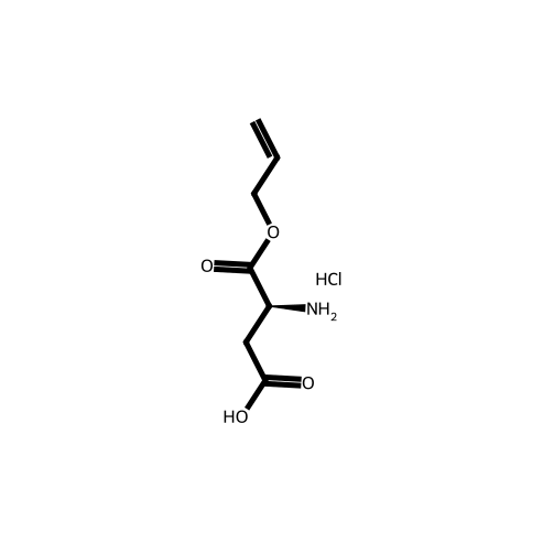 C=CCOC(=O)[C@@H](N)CC(=O)O.Cl